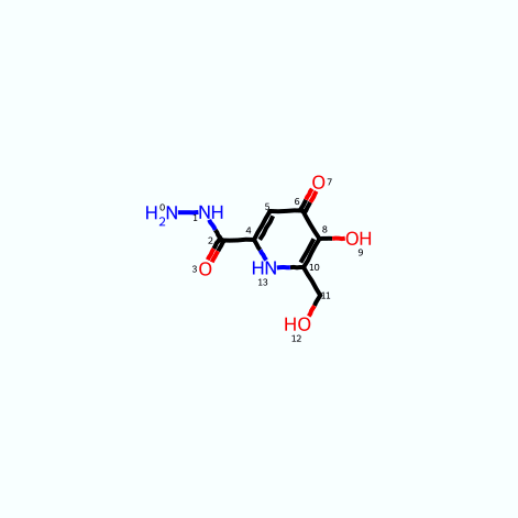 NNC(=O)c1cc(=O)c(O)c(CO)[nH]1